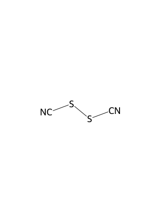 N#CSSC#N